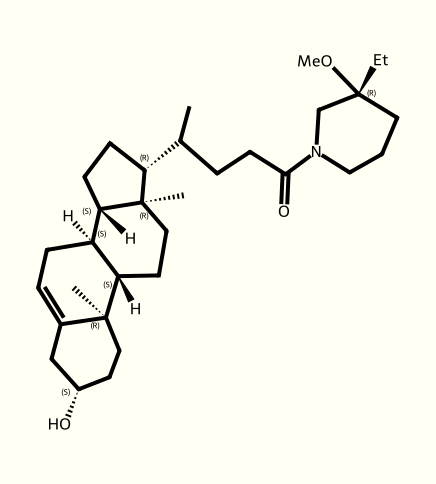 CC[C@@]1(OC)CCCN(C(=O)CCC(C)[C@H]2CC[C@H]3[C@@H]4CC=C5C[C@@H](O)CC[C@]5(C)[C@H]4CC[C@]23C)C1